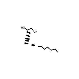 C=C.C=C.C=C.C=C.C=C.C=C.CCCCOCC.OCCO